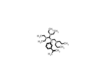 C=C(C)c1cccc([SiH](CN(CCC)CCC)C(N(CC)CC)N(CC)CC)c1